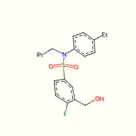 CCc1ccc(N(CC(C)C)S(=O)(=O)c2ccc(F)c(CO)c2)cc1